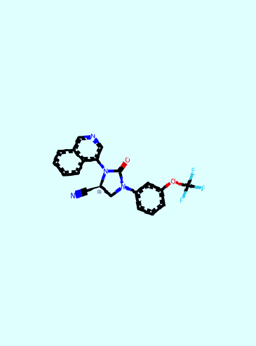 N#C[C@@H]1CN(c2cccc(OC(F)(F)F)c2)C(=O)N1c1cncc2ccccc12